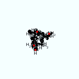 C#CC[C@H](NC(=O)[C@@H]1CCCN1C(=O)[C@H](Cc1c[nH]c2ccccc12)NC(=O)[C@@H](NC(=O)[C@@H]1CCCN1C(=O)[C@H](CO)NC(=O)[C@H](Cc1c[nH]c2ccccc12)NC(=O)[C@H](CCSC)NC(=O)[C@@H]1CCCN1C(=O)[C@@H]1CCCN1C(=O)[C@H](CCCNC(=N)N)NC(=O)[C@H](Cc1c[nH]cn1)NC(=O)[C@@H](N)[C@@H](C)O)C(C)C)C(N)=O